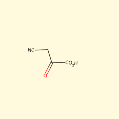 N#CCC(=O)C(=O)O